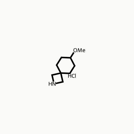 COC1CCC2(CC1)CNC2.Cl